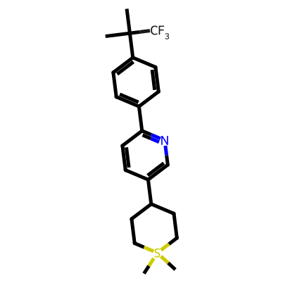 CC(C)(c1ccc(-c2ccc(C3CCS(C)(C)CC3)cn2)cc1)C(F)(F)F